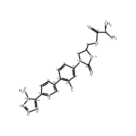 C[C@@H](N)C(=O)OCC1CN(c2ccc(-c3ccc(-c4nnnn4C)nc3)c(F)c2)C(=O)O1